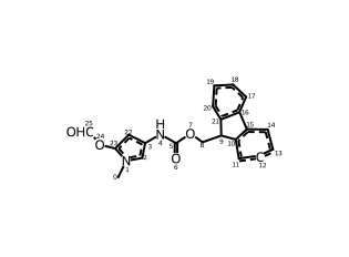 Cn1cc(NC(=O)OCC2c3ccccc3-c3ccccc32)cc1OC=O